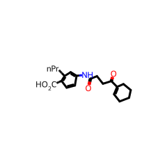 CCCc1cc(NC(=O)CCC(=O)C2=CCCCC2)ccc1C(=O)O